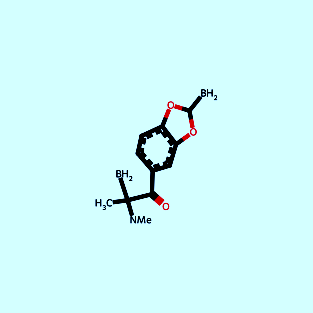 BC1Oc2ccc(C(=O)C(B)(C)NC)cc2O1